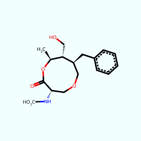 C[C@@H]1OC(=O)[C@@H](NC(=O)O)COC[C@H](Cc2ccccc2)[C@H]1CO